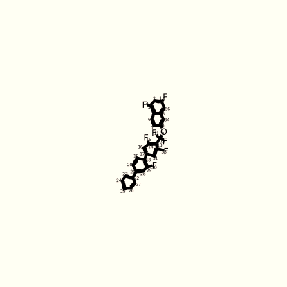 Fc1cc(F)c2ccc(OC(F)(F)c3c(F)cc(-c4ccc(-c5ccccc5)cc4F)cc3F)cc2c1